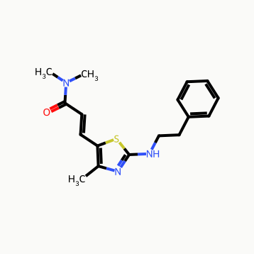 Cc1nc(NCCc2ccccc2)sc1C=CC(=O)N(C)C